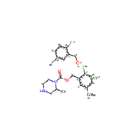 CCC1CNCCN1C(=O)OCc1cc(OC)ccc1F.Cl.OCc1cc(I)ccc1F